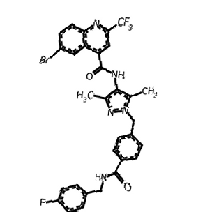 Cc1nn(Cc2ccc(C(=O)NCc3ccc(F)cc3)cc2)c(C)c1NC(=O)c1cc(C(F)(F)F)nc2ccc(Br)cc12